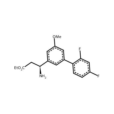 CCOC(=O)C[C@H](N)c1cc(OC)cc(-c2ccc(F)cc2F)c1